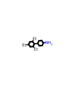 CCc1cc(CC)c(-c2ccc(N)cc2)c(CC)c1